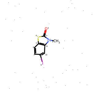 Cn1c(=O)sc2ccc(I)cc21